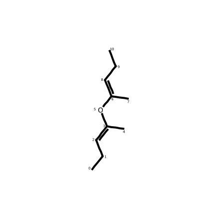 CC/C=C(\C)O/C(C)=C/CC